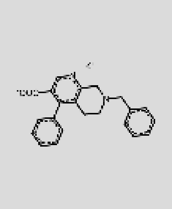 O=C([O-])c1cnc2c(c1-c1ccccc1)CCN(Cc1ccccc1)C2.[K+]